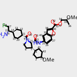 COC1CCC([C@@H]2CCN(C(=O)[C@H]3CC[C@H]([C@H](N)CF)CC3)[C@@H]2C(=O)Nc2ccc3oc(C(=O)OC[C@H](C)OC)cc3c2)CC1